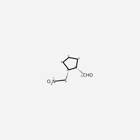 O=C[C@H]1CCC[C@H]1C[N+](=O)[O-]